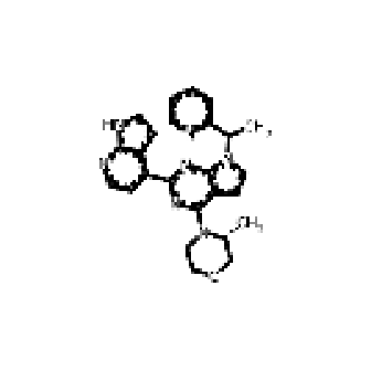 CC(c1ccccn1)n1ccc2c(N3CCOC[C@H]3C)nc(-c3ccnc4[nH]ccc34)nc21